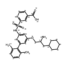 Cc1cccc(C)c1-c1cc(OCC(N)CC2CCCCC2)nc(NS(=O)(=O)c2cc(C(=O)O)ccn2)n1